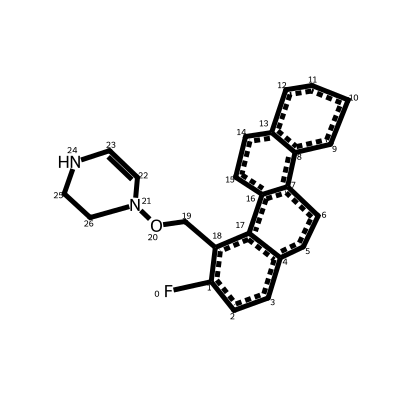 Fc1ccc2ccc3c4ccccc4ccc3c2c1CON1C=CNCC1